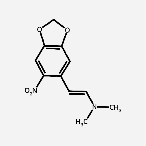 CN(C)/C=C/c1cc2c(cc1[N+](=O)[O-])OCO2